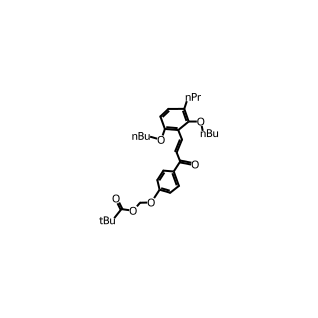 CCCCOc1ccc(CCC)c(OCCCC)c1C=CC(=O)c1ccc(OCOC(=O)C(C)(C)C)cc1